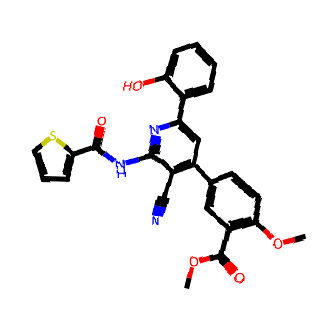 COC(=O)c1cc(-c2cc(-c3ccccc3O)nc(NC(=O)c3cccs3)c2C#N)ccc1OC